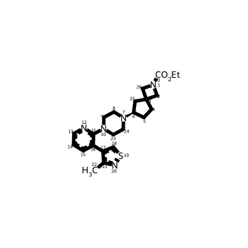 CCOC(=O)N1CC2(CC[C@@H](N3CCN(c4ncccc4-c4csnc4C)CC3)C2)C1